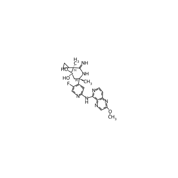 COc1cnc2c(Nc3cc([C@]4(C)CS(O)(O)[C@@](C)(C5CC5)C(=N)N4)c(F)cn3)nccc2n1